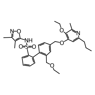 CCCc1cc(OCc2ccc(-c3ccccc3S(=O)(=O)Nc3onc(C)c3C)c(COCC)c2)c(OCC)c(C)n1